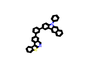 c1ccc(-n2c3ccc(-c4cccc(-c5ccc6c(cnc7sc8ccccc8c76)c5)c4)cc3c3cc4ccccc4cc32)cc1